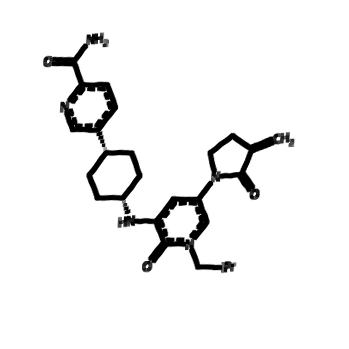 C=C1CCN(c2cc(N[C@H]3CC[C@@H](c4ccc(C(N)=O)nc4)CC3)c(=O)n(CC(C)C)c2)C1=O